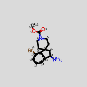 CC(C)(C)OC(=O)N1CCC2(CC1)CC(N)c1cccc(Br)c12